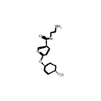 CCOC(=O)[C@H]1CC[C@@H](Oc2ccc(C(=O)NCCN)cn2)CC1